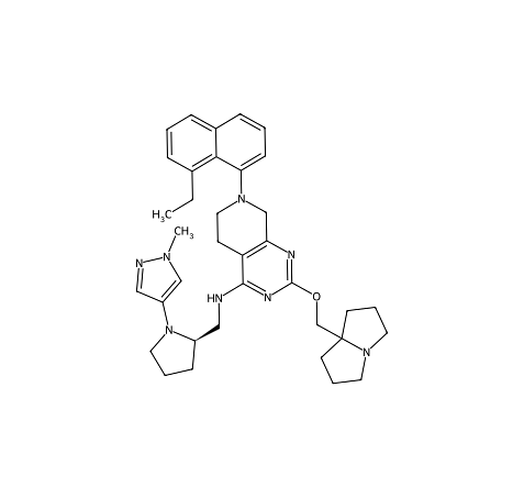 CCc1cccc2cccc(N3CCc4c(nc(OCC56CCCN5CCC6)nc4NC[C@H]4CCCN4c4cnn(C)c4)C3)c12